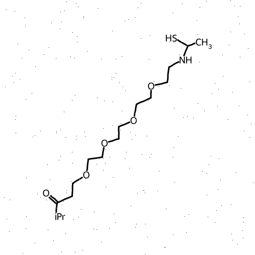 CC(S)NCCOCCOCCOCCOCCC(=O)C(C)C